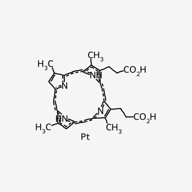 CC1=Cc2cc3[nH]c(cc4nc(cc5[nH]c(cc1n2)c(C)c5CCC(=O)O)C(CCC(=O)O)=C4C)cc3C.[Pt]